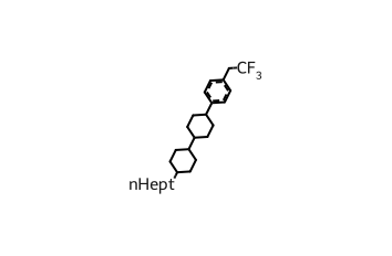 CCCCCCCC1CCC(C2CCC(c3ccc(CC(F)(F)F)cc3)CC2)CC1